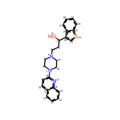 OC(CCN1CCN(c2ccc3ccccc3n2)CC1)c1csc2ccccc12